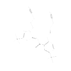 CC(C)(C)c1nn(CCCC#N)/c(=N/C(=O)c2cc(C(F)(F)F)ccc2OCCCC#N)s1